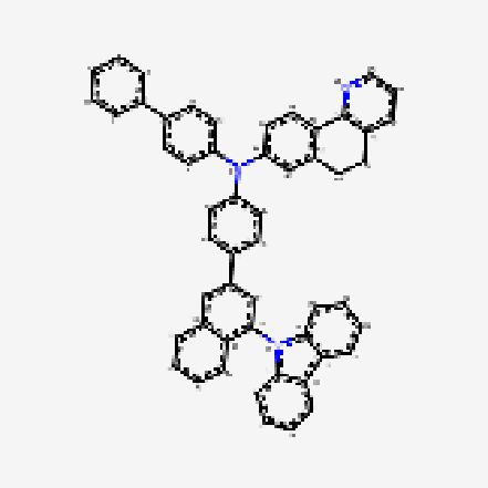 c1ccc(-c2ccc(N(c3ccc(-c4cc(-n5c6ccccc6c6ccccc65)c5ccccc5c4)cc3)c3ccc4c(c3)CCc3cccnc3-4)cc2)cc1